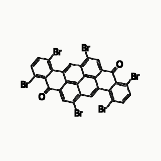 O=c1c2cc(Br)c3cc4c5c(Br)ccc(Br)c5c(=O)c5cc(Br)c6cc(c7c(Br)ccc(Br)c17)c2c3c6c54